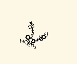 CC(O)Cc1ccccc1C(CCSCCC(=O)OC1CC1)c1cccc(/C=C/c2ccc3ccc(Cl)cc3n2)c1